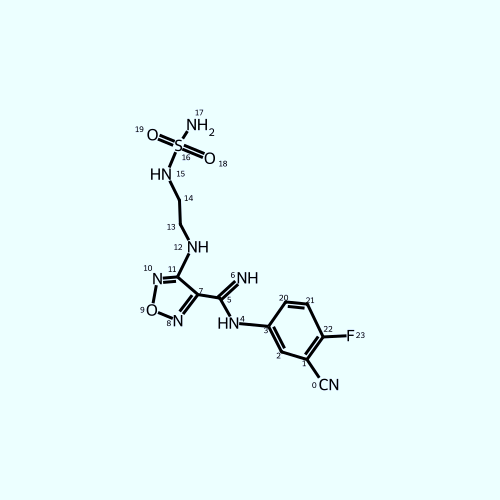 N#Cc1cc(NC(=N)c2nonc2NCCNS(N)(=O)=O)ccc1F